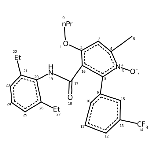 CCCOc1cc(C)[n+]([O-])c(-c2cccc(C(F)(F)F)c2)c1C(=O)Nc1c(CC)cccc1CC